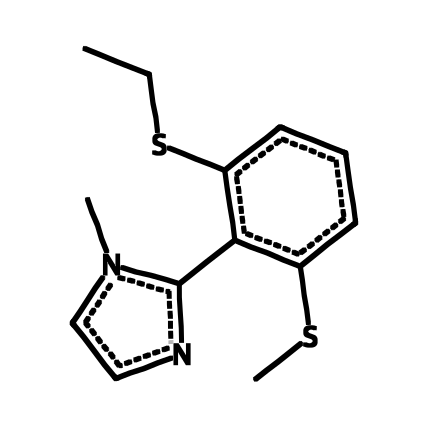 CCSc1cccc(SC)c1-c1nccn1C